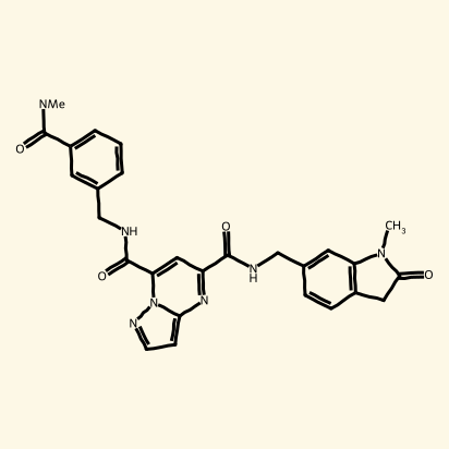 CNC(=O)c1cccc(CNC(=O)c2cc(C(=O)NCc3ccc4c(c3)N(C)C(=O)C4)nc3ccnn23)c1